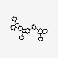 c1ccc(-c2nc(-c3cccc(-c4ccc5c(c4)c4cc6nc(-c7ccccc7)c7ccccc7c6cc4n5-c4ccccc4)c3)nc3ccccc23)cc1